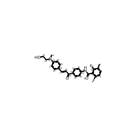 Cc1ccc(F)c(C(=O)Nc2ccc(C(=O)/C=C/c3ccc(N(C)CCO)cc3)cc2)c1F